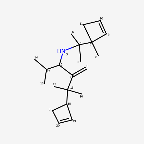 C=C(C(NC(C)(C)C1(C)C=CC1)C(C)C)C(C)(C)C1C=CC1